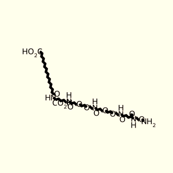 NOCCNC(=O)CCC(=O)NCCOCCOCCC(=O)NCCOCCOCCC(=O)NCCCCC(NC(=O)CCCCCCCCCCCCCCCCC(=O)O)C(=O)O